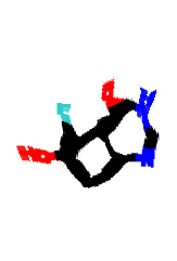 O=c1[nH]cnc2ccc(O)c(F)c12